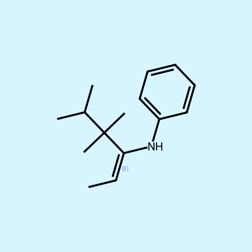 C/C=C(/Nc1ccccc1)C(C)(C)C(C)C